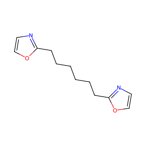 c1coc(CCCCCCc2ncco2)n1